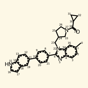 Cc1ccc2nc(-c3ccc(-c4ccc5[nH]ccc5c4)cc3)n(CC3CCN(C(=O)C4CC4)C3)c2c1